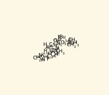 CC(=O)[C@@]1(C)SC(N(COCC[Si](C)(C)C)C(=O)OC(C)(C)C)=N[C@](C)(c2cc(/C=C(\F)c3cnc(Cl)cn3)ccc2F)[C@@H]1C